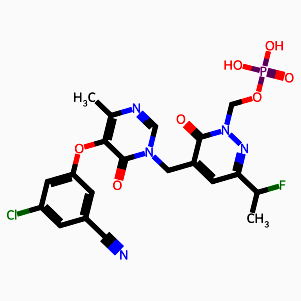 Cc1ncn(Cc2cc(C(C)F)nn(COP(=O)(O)O)c2=O)c(=O)c1Oc1cc(Cl)cc(C#N)c1